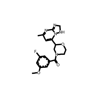 COc1cc(F)cc(C(=O)N2CCOC(C3=CC(C)=NC4=NCNN34)C2)c1